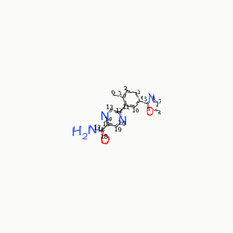 Cc1ccc(-c2ncco2)cc1-c1cnc(C(N)=O)cn1